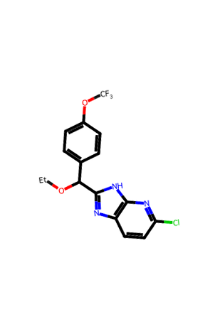 CCOC(c1ccc(OC(F)(F)F)cc1)c1nc2ccc(Cl)nc2[nH]1